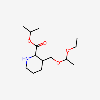 CCOC(C)OCC1CCCNC1C(=O)OC(C)C